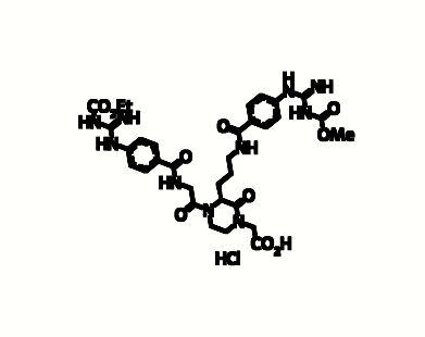 CCOC(=O)NC(=N)Nc1ccc(C(=O)NCC(=O)N2CCN(CC(=O)O)C(=O)[C@@H]2CCCNC(=O)c2ccc(NC(=N)NC(=O)OC)cc2)cc1.Cl